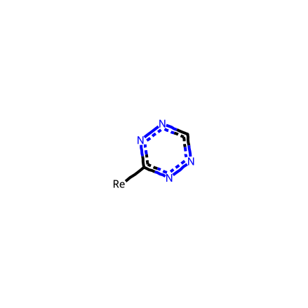 [Re][c]1nncnn1